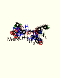 CN[C@@H](C)C(=O)N[C@H](C(=O)N1Cc2ccc(NC(=O)CCCNC(=O)C3(C(=O)C(C)N4C[C@@H](C)NC[C@@H]4CN4CCOC[C@H]4C)CN(Cl)c4cc(Cc5ccc(F)cc5)ccc43)cc2[C@H]1C(=O)Nc1c(F)cccc1F)C1CCOCC1